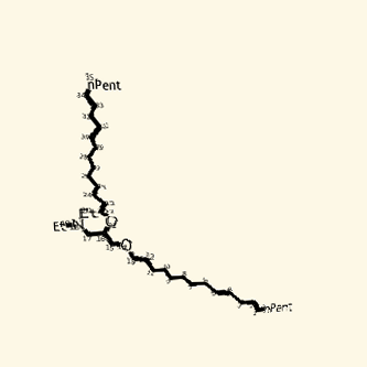 CCCCCC=CCC=CCCCCCCCCOCC(CN(CC)CC)OCCCCCCCCC=CCC=CCCCCC